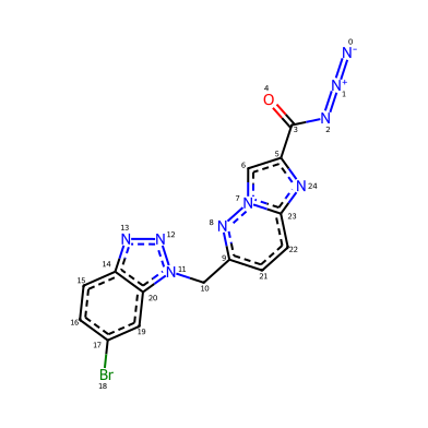 [N-]=[N+]=NC(=O)c1cn2nc(Cn3nnc4ccc(Br)cc43)ccc2n1